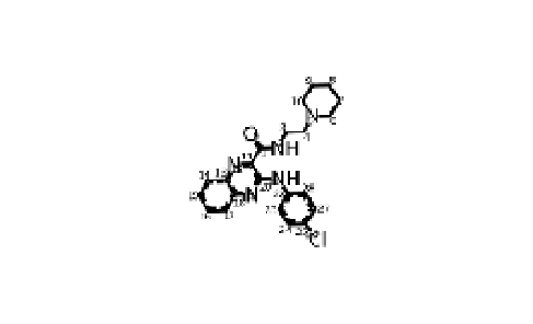 O=C(NCCN1CCCCC1)c1nc2ccccc2nc1Nc1ccc(Cl)cc1